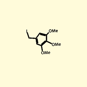 COc1cc(CI)cc(OC)c1OC